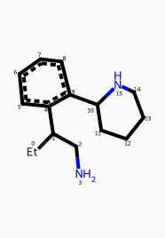 CCC(CN)c1ccccc1C1CCCCN1